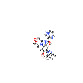 CC1(C)COc2cc(N3CCOCC3)c(NC(=O)c3cnn4cccnc34)cc2N1